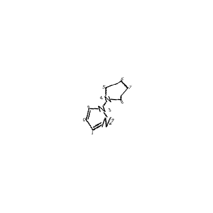 c1cnn(N2CCCC2)c1